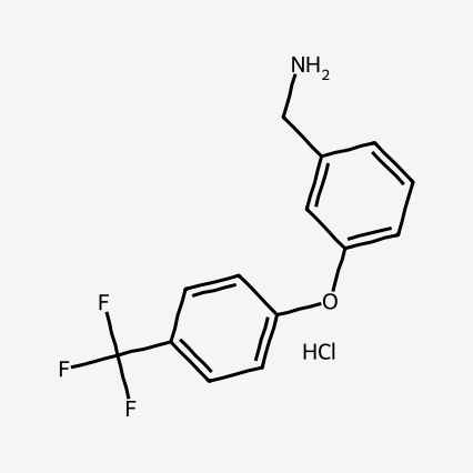 Cl.NCc1cccc(Oc2ccc(C(F)(F)F)cc2)c1